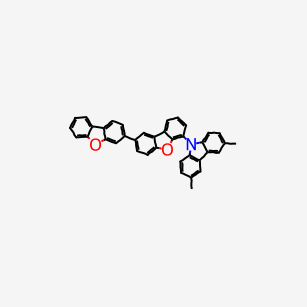 Cc1ccc2c(c1)c1cc(C)ccc1n2-c1cccc2c1oc1ccc(-c3ccc4c(c3)oc3ccccc34)cc12